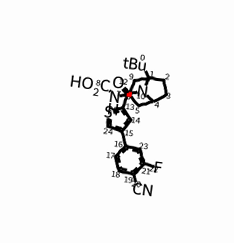 CC(C)(C)C12CCC(CC(NC(=O)O)C1)N2C(=O)c1cc(-c2ccc(C#N)c(F)c2)cs1